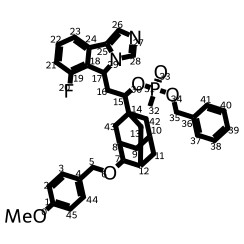 COc1ccc(COC2C3CC4CC2CC(C(CC2c5c(F)cccc5-c5cncn52)OP(C)(=O)OCc2ccccc2)(C4)C3)cc1